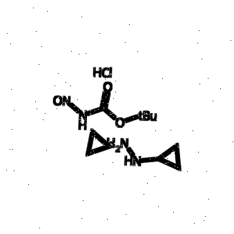 C1CC1.CC(C)(C)OC(=O)NN=O.Cl.NNC1CC1